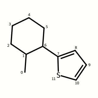 CC1CCCCC1c1cccs1